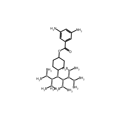 BB(B)B(B(B)B)B(B(B)B)B(B(B(B)B)B(B)B)C1CCC(OC(=O)c2cc(N)cc(N)c2)CC1